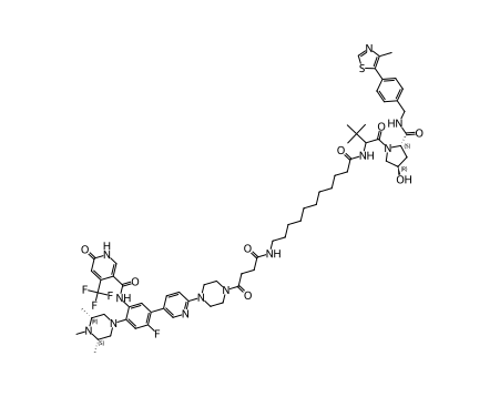 Cc1ncsc1-c1ccc(CNC(=O)[C@@H]2C[C@@H](O)CN2C(=O)C(NC(=O)CCCCCCCCCCNC(=O)CCC(=O)N2CCN(c3ccc(-c4cc(NC(=O)c5c[nH]c(=O)cc5C(F)(F)F)c(N5C[C@@H](C)N(C)[C@@H](C)C5)cc4F)cn3)CC2)C(C)(C)C)cc1